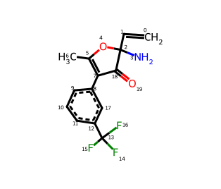 C=CC1(N)OC(C)=C(c2cccc(C(F)(F)F)c2)C1=O